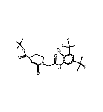 CC(C)(C)OC(=O)N1CCN(CC(=O)Nc2cc(C(F)(F)F)cc(C(F)(F)F)c2N)C(=O)C1